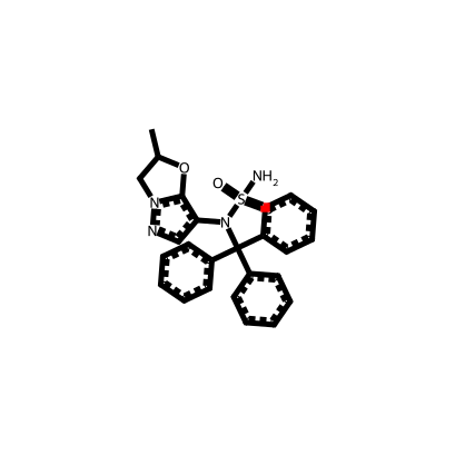 CC1Cn2ncc(N(C(c3ccccc3)(c3ccccc3)c3ccccc3)S(N)(=O)=O)c2O1